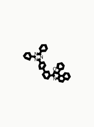 c1ccc(-c2nc(-c3ccccc3)nc(-c3ccc(-c4cccc(-c5nc6ccc7ccccc7c6c6c5oc5ccccc56)c4)cc3)n2)cc1